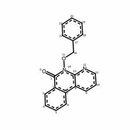 O=c1c2ccccc2c2cccnc2n1OCc1ccccc1